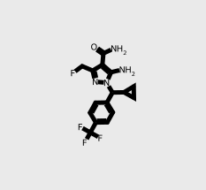 NC(=O)c1c(CF)nn(C(c2ccc(C(F)(F)F)cc2)C2CC2)c1N